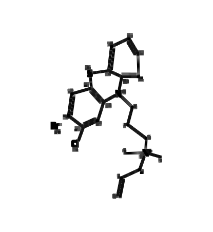 C=CC[N+](C)(C)CCCN1c2ccccc2Sc2ccc(Cl)cc21.[Br-]